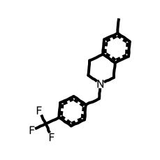 Cc1ccc2c(c1)CCN(Cc1ccc(C(F)(F)F)cc1)C2